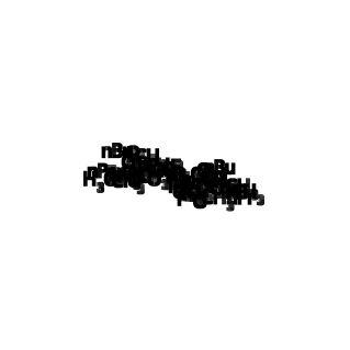 CCCCOC(=O)C(C)(Br)CC(C)(CC(C)(C)C(=O)OCOC(F)(F)OC(F)(F)C(F)(F)OC(F)(F)COC(=O)C(C)(C)CC(C)(CC(C)(Br)C(=O)OCCCC)C(=O)OCC[N+](C)(C)CCC)C(=O)OCC[N+](C)(C)CCC